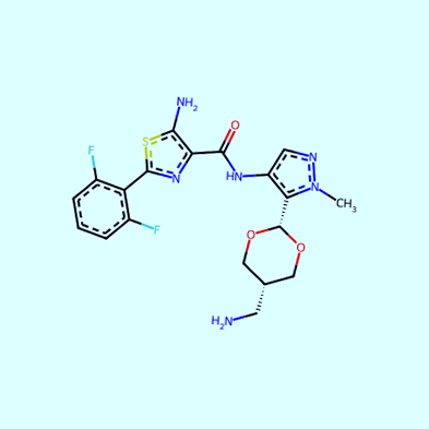 Cn1ncc(NC(=O)c2nc(-c3c(F)cccc3F)sc2N)c1[C@H]1OC[C@@H](CN)CO1